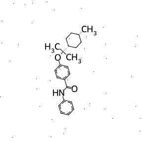 CC(C)(Oc1ccc(C(=O)Nc2ccccc2)cc1)[C@H]1CC[C@@H](C)CC1